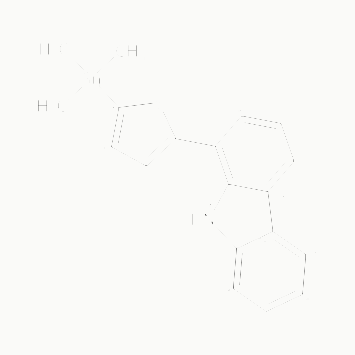 [CH3][Sn]([CH3])([CH3])[c]1ccc(-c2cccc3c2[nH]c2ccccc23)s1